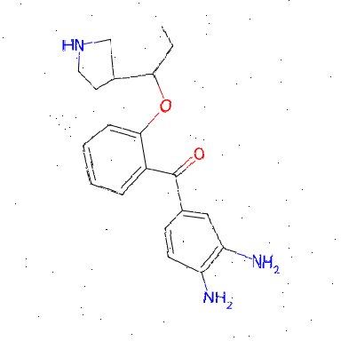 CCC(Oc1ccccc1C(=O)c1ccc(N)c(N)c1)C1CCNC1